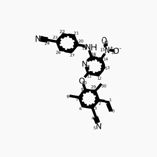 C=Cc1c(C#N)cc(C)c(Oc2ccc([N+](=O)[O-])c(Nc3ccc(C#N)cc3)n2)c1C